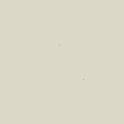 CCC(C)CC(=O)OC1CCOCC1C